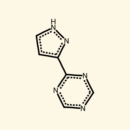 c1ncnc(-c2cc[nH]n2)n1